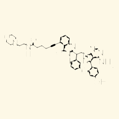 Nc1ncnc2c1c(-c1ccc(O)cc1)nn2CC(c1cccc(Cl)c1)c1nc2cccc(C#CCCCC(=O)NCCN3CCOCC3)c2c(=O)[nH]1